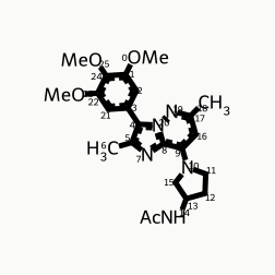 COc1cc(-c2c(C)nc3c(N4CCC(NC(C)=O)C4)cc(C)nn23)cc(OC)c1OC